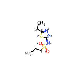 CCCS(=O)(=O)N=C1[N]N=C(CC)S1